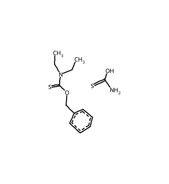 CCN(CC)C(=S)OCc1ccccc1.NC(O)=S